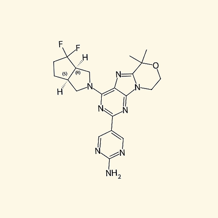 CC1(C)OCCn2c1nc1c(N3C[C@H]4CCC(F)(F)[C@H]4C3)nc(-c3cnc(N)nc3)nc12